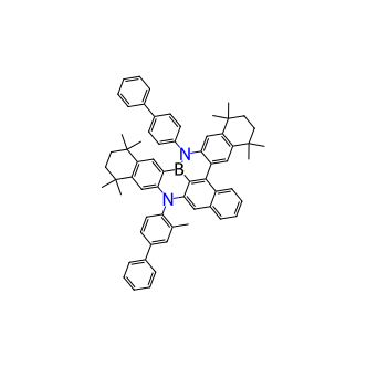 Cc1cc(-c2ccccc2)ccc1N1c2cc3c(cc2B2c4c1cc1ccccc1c4-c1cc4c(cc1N2c1ccc(-c2ccccc2)cc1)C(C)(C)CCC4(C)C)C(C)(C)CCC3(C)C